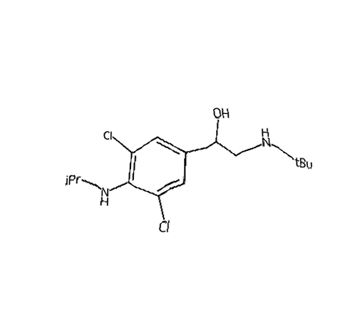 CC(C)Nc1c(Cl)cc(C(O)CNC(C)(C)C)cc1Cl